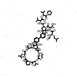 CC(C)CC[C@H](NC=O)C(=O)N[C@@H](C(=O)N1[C@H](C(=O)N[C@@H](C(=O)O[C@H](C(=O)N2CCCC2)C(C)C)C(C)C)C[C@@]2(O)c3cc(-c4ccc5c(c4)[C@]4(O)C[C@H]6C(=O)N[C@H](C(C)C)C(=O)O[C@@H](C(C)C)C(=O)N7CCC[C@@H]7C(=O)N[C@@H](CC(C)C)C(=O)NC([C@H](C)O)C(=O)N6[C@@H]4N5)ccc3N[C@@H]12)[C@H](C)O